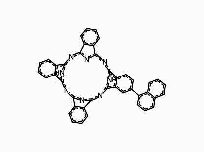 c1ccc2c(c1)-c1nc-2nc2[nH]c(nc3nc(nc4[nH]c(n1)c1ccccc41)-c1ccccc1-3)c1cc(-c3cccc4ccccc34)ccc21